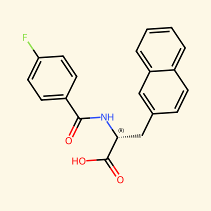 O=C(N[C@H](Cc1ccc2ccccc2c1)C(=O)O)c1ccc(F)cc1